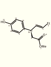 CCC=C[C@@H](CC(=O)OC)c1ccc(O)cc1